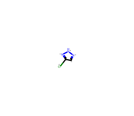 Clc1[c]n[nH]n1